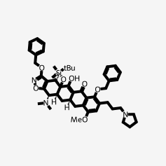 COc1cc(CCCN2CCCC2)c(OCc2ccccc2)c2c1C[C@H]1C[C@H]3[C@H](N(C)C)c4onc(OCc5ccccc5)c4C(=O)C3(O[Si](C)(C)C(C)(C)C)C(O)=C1C2=O